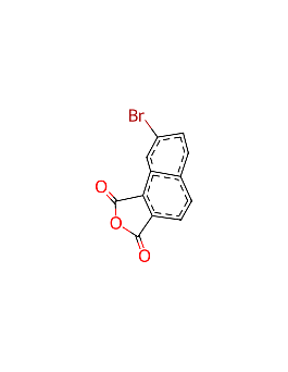 O=C1OC(=O)c2c1ccc1ccc(Br)cc21